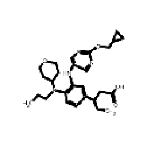 CCCN(c1ccc(C(CC)CC(=O)O)cc1Nc1cnc(OCC2CC2)nc1)C1CCOCC1